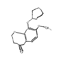 COc1ccc2c(c1OC1CCCC1)OCCC2=O